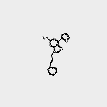 Nc1nc(-c2ccco2)c2ncn(C/C=C/c3ccccc3)c2n1